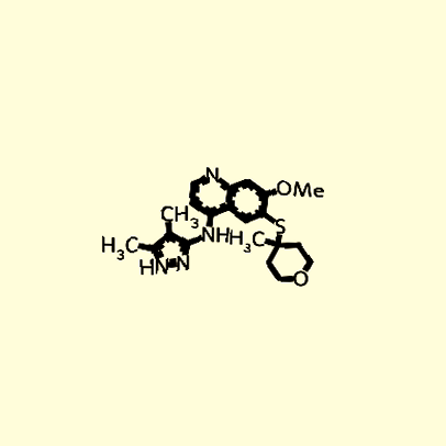 COc1cc2nccc(Nc3n[nH]c(C)c3C)c2cc1SC1(C)CCOCC1